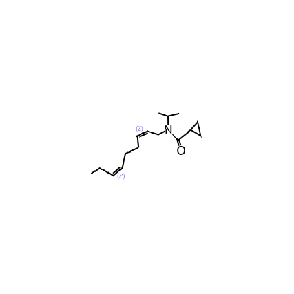 CC/C=C\CC/C=C\CN(C(=O)C1CC1)C(C)C